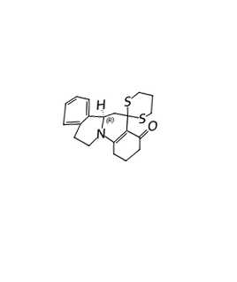 O=C1CCCC2=C1C1(C[C@@H]3c4ccccc4CCN23)SCCCS1